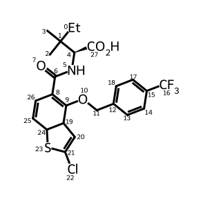 CCC(C)(C)[C@H](NC(=O)C1=C(OCc2ccc(C(F)(F)F)cc2)C2C=C(Cl)SC2C=C1)C(=O)O